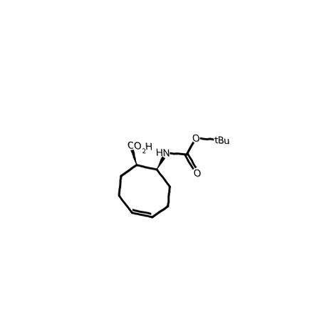 CC(C)(C)OC(=O)N[C@H]1CC/C=C\CC[C@H]1C(=O)O